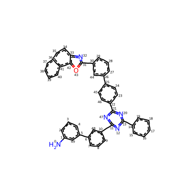 Nc1cccc(-c2cccc(-c3nc(-c4ccccc4)nc(-c4ccc(-c5cccc(-c6nc7ccc8ccccc8c7o6)c5)cc4)n3)c2)c1